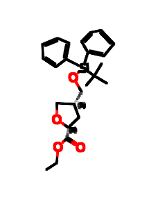 CCOC(=O)[C@H]1C[C@@H](CO[Si](c2ccccc2)(c2ccccc2)C(C)(C)C)CO1